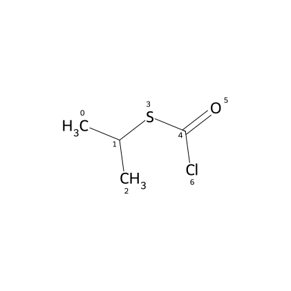 CC(C)SC(=O)Cl